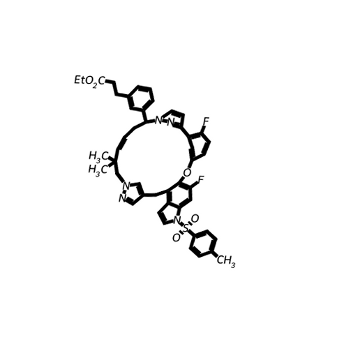 CCOC(=O)CCc1cccc(C2C/C=C\C(C)(C)Cn3cc(cn3)Cc3c(c(F)cc4c3ccn4S(=O)(=O)c3ccc(C)cc3)Oc3ccc(F)c(c3)-c3ccn2n3)c1